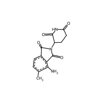 Cc1ccc2c(c1N)C(=O)N(C1CCC(=O)NC1=O)C2=O